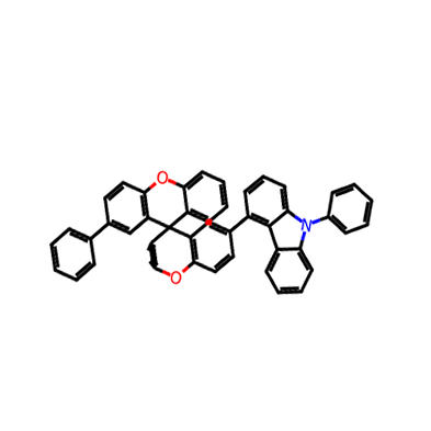 c1ccc(-c2ccc3c(c2)C2(c4ccccc4O3)c3ccccc3Oc3ccc(-c4cccc5c4c4ccccc4n5-c4ccccc4)cc32)cc1